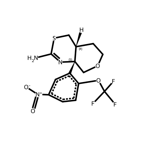 NC1=N[C@@]2(c3cc([N+](=O)[O-])ccc3OC(F)(F)F)COCC[C@H]2CS1